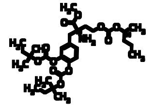 CCC[C@H](C)OC(=O)OCC[C@@](N)(Cc1ccc(OC(=O)OC(C)(C)CC)c(OC(=O)OC(C)(C)CC)c1)C(=O)OC